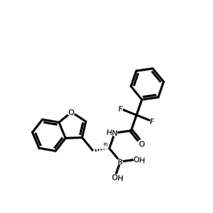 O=C(N[C@@H](Cc1coc2ccccc12)B(O)O)C(F)(F)c1ccccc1